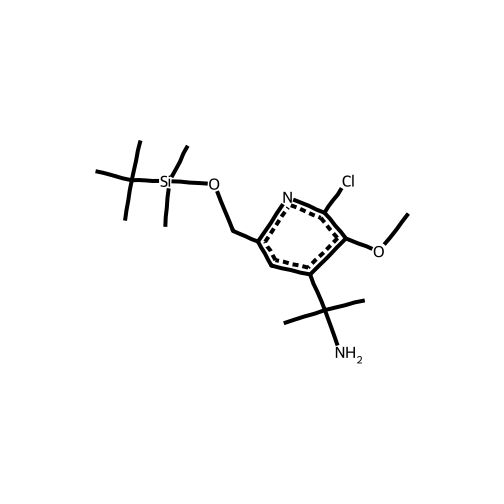 COc1c(C(C)(C)N)cc(CO[Si](C)(C)C(C)(C)C)nc1Cl